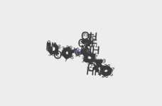 CN1CCC(Oc2ccc(/C=C/c3n[nH]c4cc([C@@H]5C[C@@]56C(=O)Nc5ccccc56)ccc34)cc2)CC1.O=C(O)C(F)(F)F